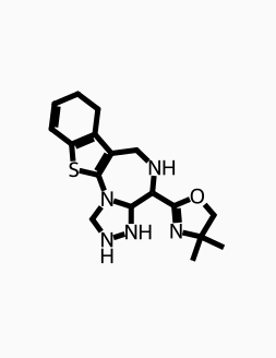 CC1(C)COC(C2NCc3c(sc4c3CCC=C4)N3CNNC23)=N1